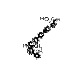 CC(C)C(C(=O)O)c1cc(N2CCC3(CC2)CC(N2CCC(c4cnc(N5CCc6[nH]c7nnc(-c8ccccc8O)cc7c6[C@H]5C)nc4)CC2)C3)no1